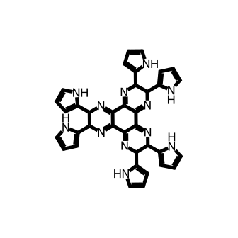 c1c[nH]c(C2N=c3c4c(c5c(c3=NC2c2ccc[nH]2)=NC(c2ccc[nH]2)C(c2ccc[nH]2)N=5)=NC(c2ccc[nH]2)C(c2ccc[nH]2)N=4)c1